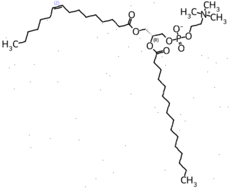 CCCCCC/C=C\CCCCCCCC(=O)OC[C@H](COP(=O)([O-])OCC[N+](C)(C)C)OC(=O)CCCCCCCCCCCCCCC